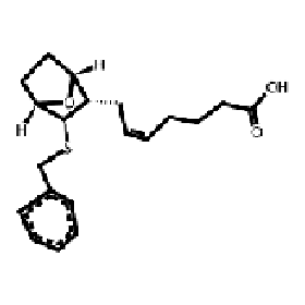 O=C(O)CCC/C=C\C[C@@H]1[C@@H](SCc2ccccc2)[C@@H]2CC[C@H]1O2